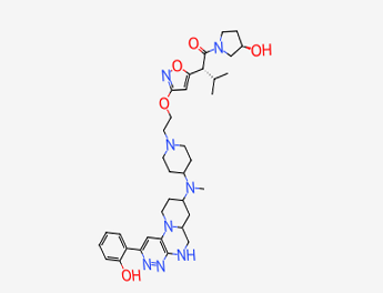 CC(C)[C@@H](C(=O)N1CC[C@@H](O)C1)c1cc(OCCN2CCC(N(C)C3CCN4c5cc(-c6ccccc6O)nnc5NCC4C3)CC2)no1